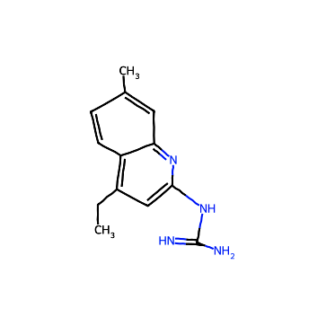 CCc1cc(NC(=N)N)nc2cc(C)ccc12